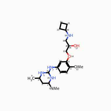 CNC1CC(C)NC(Nc2ccc(OC)c(OC[C@H](O)CNC3CCC3)c2)N1